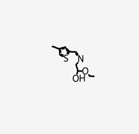 CCOC(O)C/N=C\c1cc(C)cs1